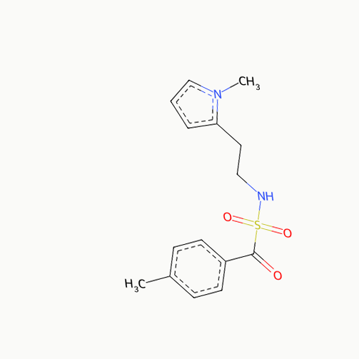 Cc1ccc(C(=O)S(=O)(=O)NCCc2cccn2C)cc1